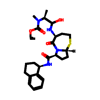 C[C@@H](C(O)N[C@H]1CCS[C@H]2CC[C@@H](C(=O)N[C@@H]3CCCc4ccccc43)N2C1=O)N(C)C(=O)OC(C)(C)C